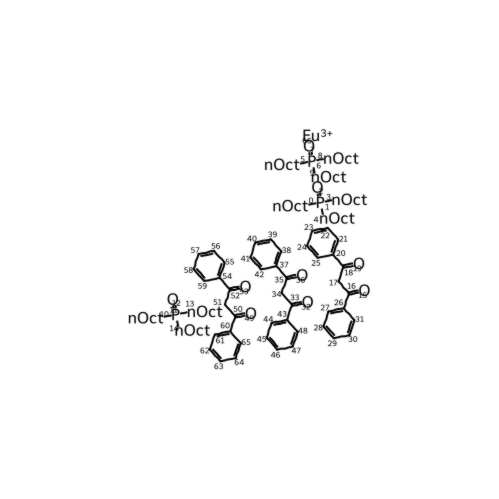 CCCCCCCCP(=O)(CCCCCCCC)CCCCCCCC.CCCCCCCCP(=O)(CCCCCCCC)CCCCCCCC.CCCCCCCCP(=O)(CCCCCCCC)CCCCCCCC.O=C(CC(=O)c1ccccc1)c1ccccc1.O=C(CC(=O)c1ccccc1)c1ccccc1.O=C(CC(=O)c1ccccc1)c1ccccc1.[Eu+3]